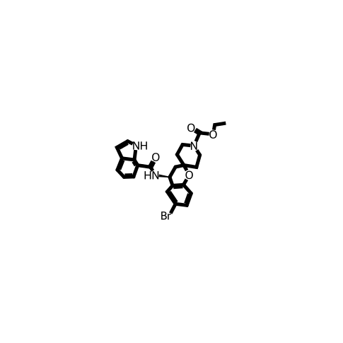 CCOC(=O)N1CCC2(CC1)C[C@H](NC(=O)c1cccc3cc[nH]c13)c1cc(Br)ccc1O2